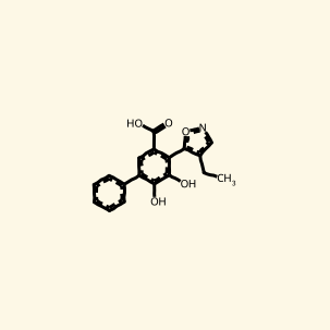 CCc1cnoc1-c1c(C(=O)O)cc(-c2ccccc2)c(O)c1O